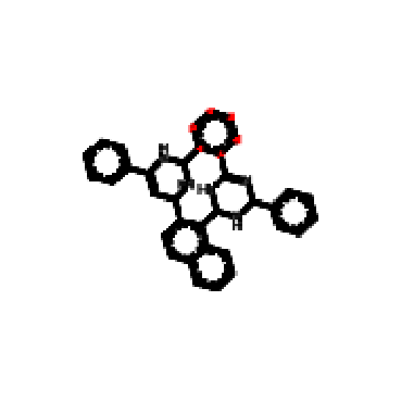 C1=C(c2ccccc2)NC(c2ccccc2)NC1c1ccc2ccccc2c1C1NC(c2ccccc2)=NC(c2ccccc2)N1